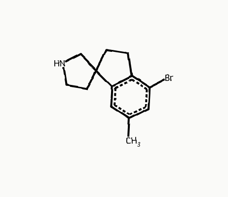 Cc1cc(Br)c2c(c1)C1(CCNC1)CC2